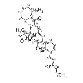 CCOC(=O)/C=C/c1cccc(C(/C=C2/N=C(C(=O)N3CCCCCC3C)C=C(C3(C)COC3)N2C)=C(C)C)c1F